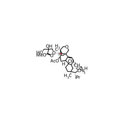 COC(=O)C(O)(CO)CO[C@H]1[C@H](OC(C)=O)C[C@]23COC[C@@]1(C)[C@@H]2CC[C@H]1C3=CC[C@@]2(C)[C@H](C(=O)O)[C@@](C)([C@H](C)C(C)C)CC[C@]12C